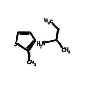 CCC(C)N.Cc1cccs1